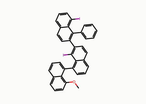 COc1cccc2cccc(-c3cccc4ccc(-c5ccc6cccc(I)c6c5-c5ccccc5)c(I)c34)c12